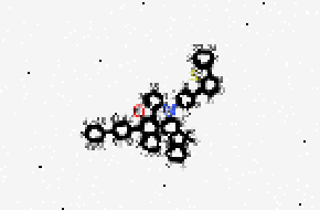 CC1(C)c2ccccc2-c2ccc(N(c3ccc(-c4cccc5c4sc4ccccc45)cc3)c3cccc4oc5c(-c6ccc(-c7ccccc7)cc6)c6ccccc6cc5c34)cc21